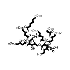 CCCCCCCCCCCCCCCC(=O)OC(CCCCCCCCCCC)CC(=O)N[C@@H]1C(O)OC(CO[C@@H]2OC(CO)C(OP(=O)(O)O)C(OC(=O)CC(CCCCCCCCCCC)OC(=O)CCCCCCCCCCC)[C@@H]2NC(=O)CC(O)CCCCCCCCCCC)[C@@H](O)C1OC(=O)CC(O)CCCCCCCCCCC